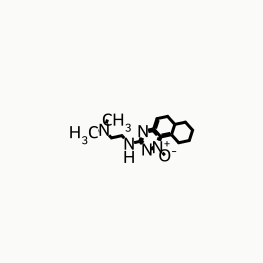 CN(C)CCNc1nc2c([n+]([O-])n1)=C1CCCCC1CC=2